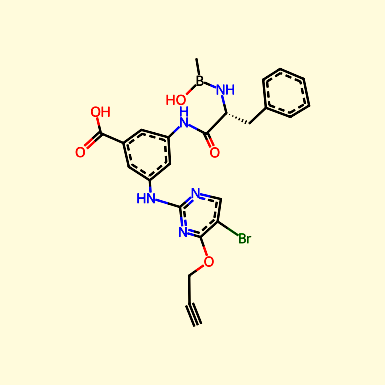 C#CCOc1nc(Nc2cc(NC(=O)[C@@H](Cc3ccccc3)NB(C)O)cc(C(=O)O)c2)ncc1Br